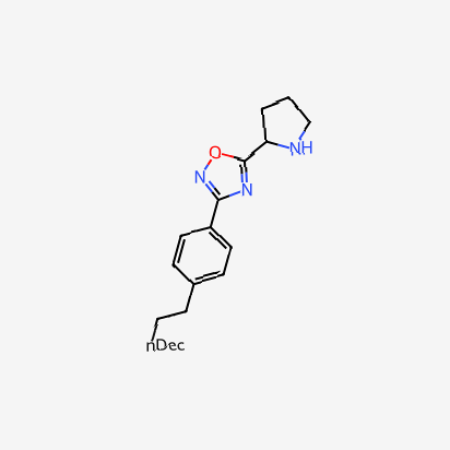 CCCCCCCCCCCCc1ccc(-c2noc(C3CCCN3)n2)cc1